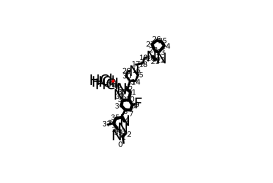 Cc1cn2nc(-c3cc(F)c4cc(C5CCN(CCCn6cnc7ccccc76)CC5)nnc4c3)cc(C)c2n1.Cl.Cl.Cl